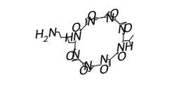 CC(C)C1NC(=O)c2coc(n2)-c2coc(n2)-c2coc(n2)C(CCCCN)NC(=O)c2coc(n2)-c2coc(n2)-c2coc1n2